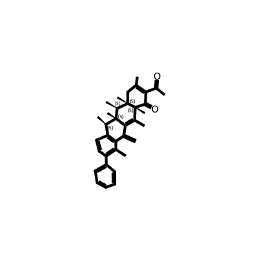 C=C1C2=C(C)[C@@]3(C)C(=O)C(C(C)=O)=C(C)C[C@@]3(C)[C@H](C)[C@@]2(C)[C@H](C)c2ccc(-c3ccccc3)c(C)c21